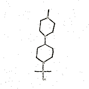 CN1CCN(C2CCN(S(C)(C)S)CC2)CC1